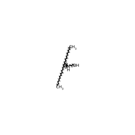 CCCCCCCCCCCCCCC(CCCCCCCCCCCCCC)OC(=O)NCCCO